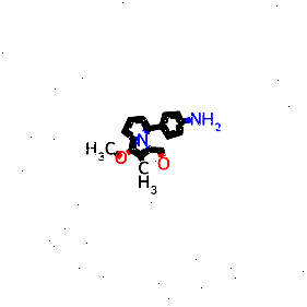 COc1c(C)c(C=O)n2c(-c3ccc(N)cc3)cccc12